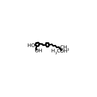 CC(C)(O)CCCCCc1ccc(C=Cc2ccc(O)c(CO)c2)cc1